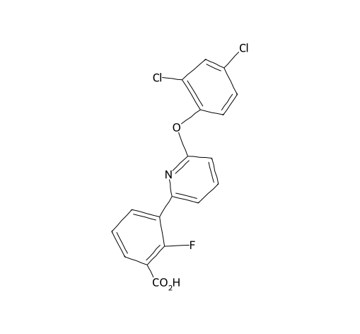 O=C(O)c1cccc(-c2cccc(Oc3ccc(Cl)cc3Cl)n2)c1F